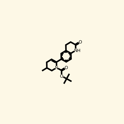 CC1CC=C(c2ccc3c(c2)CCC(=O)N3)N(C(=O)OC(C)(C)C)C1